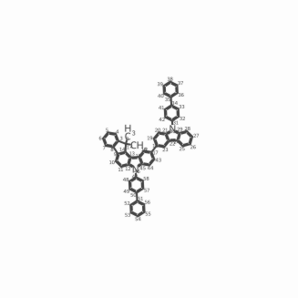 CC1(C)c2ccccc2-c2ccc3c(c21)c1cc(-c2ccc4c(c2)c2ccccc2n4-c2ccc(-c4ccccc4)cc2)ccc1n3-c1ccc(-c2ccccc2)cc1